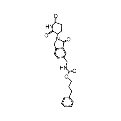 O=C1CCC(N2Cc3ccc(CNC(=O)OCCCc4ccccc4)cc3C2=O)C(=O)N1